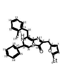 CCc1ccc(Cc2nc3c(Cc4ccccc4F)[nH]c(-c4ccccc4)cn-3c2=O)o1